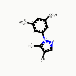 Cc1c(C#N)cnn1-c1cc(C(=O)O)cc(C(=O)O)c1